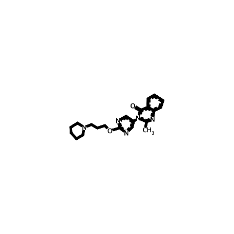 Cc1nc2ccccc2c(=O)n1-c1cnc(OCCCN2CCCCC2)nc1